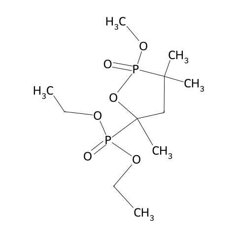 CCOP(=O)(OCC)C1(C)CC(C)(C)P(=O)(OC)O1